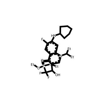 CCOP(=O)(OCC)C(F)(F)C(O)c1cn(C(CC)CC)c2cc(NC3CCCCC3)c(F)cc2c1=O